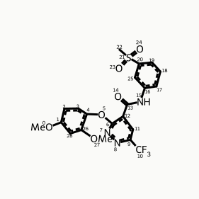 COc1ccc(Oc2nnc(C(F)(F)F)cc2C(=O)Nc2cccc(S(C)(=O)=O)c2)c(OC)c1